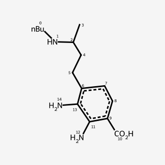 CCCCNC(C)CCc1ccc(C(=O)O)c(N)c1N